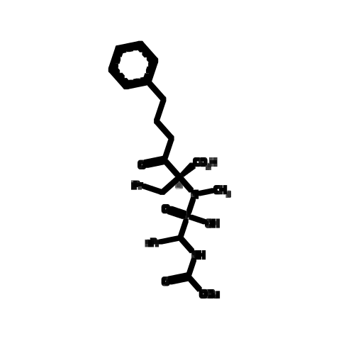 CCCC(NC(=O)OCC(C)C)P(=O)(O)N(C)[C@@](CC(C)C)(C(=O)O)C(=O)CCCc1ccccc1